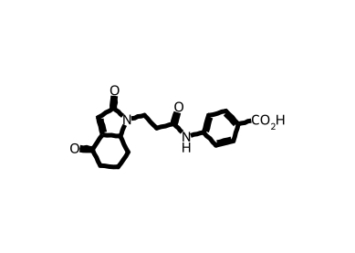 O=C(CCN1C(=O)C=C2C(=O)CCCC21)Nc1ccc(C(=O)O)cc1